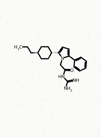 CCC[C@H]1CC[C@H](c2ccc(-c3ccccc3)n2CC(=O)NC(=N)N)CC1